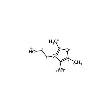 CCCc1c(C)oc(C)[si]1CCO